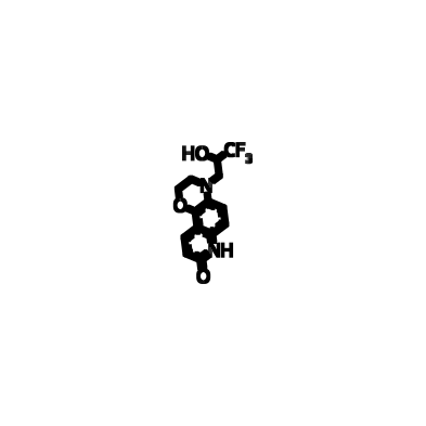 O=c1ccc2c3c(ccc2[nH]1)N(CC(O)C(F)(F)F)CCO3